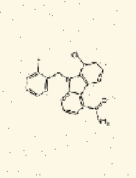 NC(=O)c1cccc2c1c1[c]ccc(Cl)c1n2Cc1ccccc1F